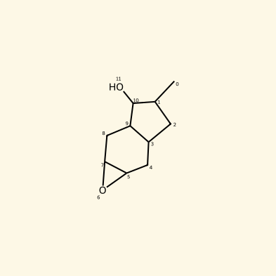 CC1CC2CC3OC3CC2C1O